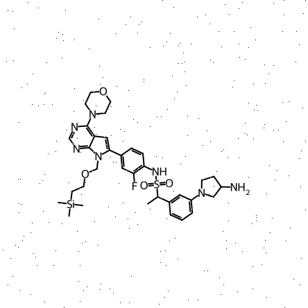 CC(c1cccc(N2CCC(N)C2)c1)S(=O)(=O)Nc1ccc(-c2cc3c(N4CCOCC4)ncnc3n2COCC[Si](C)(C)C)cc1F